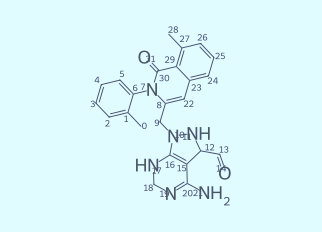 Cc1ccccc1-n1c(CN2NC(C=O)C3=C2NCN=C3N)cc2cccc(C)c2c1=O